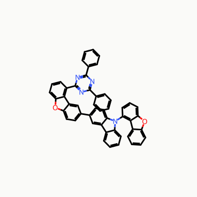 c1ccc(-c2nc(-c3ccccc3)nc(-c3cccc4oc5ccc(-c6ccc7c(c6)c6ccccc6n7-c6cccc7oc8ccccc8c67)cc5c34)n2)cc1